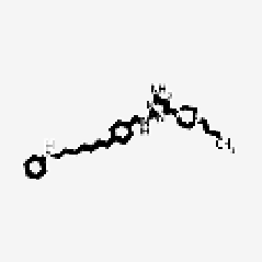 CCCCN1CCN(c2cc(N)nc(NCC3CCC(CC/C=C/CCCNC4CCCCC4)CC3)n2)CC1